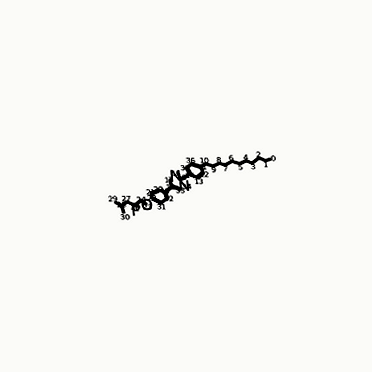 CCCCCCCCCCCc1ccc(-c2ncc(-c3ccc(OCC(F)CC(C)C)cc3)cn2)cc1